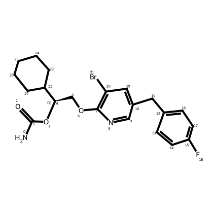 NC(=O)O[C@H](COc1ncc(Cc2ccc(F)cc2)cc1Br)C1CCCCC1